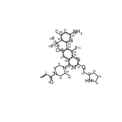 C=CC(=O)N1CCN(c2nc(OCC3CCCN3)nc3c(F)c(-c4nc(N)cc(C)c4C(F)(F)F)c(Cl)cc23)C(C)C1